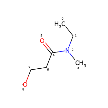 CCN(C)C(=O)CC[O]